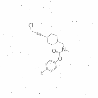 CN(CC1CCC(C#CCCl)CC1)C(=O)Oc1ccc(F)cc1